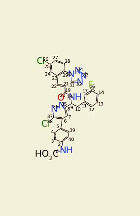 O=C(O)Nc1ccc(-c2cc(C(Cc3cccc(F)c3)NC(=O)C=Cc3cc(Cl)ccc3-n3cnnn3)nnc2Cl)cc1